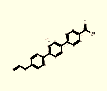 C=CCc1ccc(-c2ccc(-c3ccc(C(=O)O)cc3)cc2)cc1.Cl